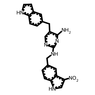 Nc1nc(NCc2ccc3[nH]cc([N+](=O)[O-])c3c2)ncc1Cc1ccc2[nH]ccc2c1